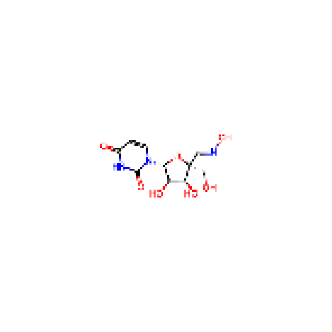 O=c1ccn([C@@H]2O[C@](/C=N/O)(CO)[C@@H](O)[C@H]2O)c(=O)[nH]1